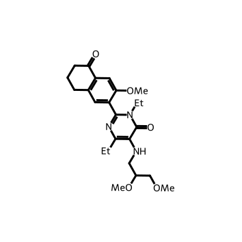 CCc1nc(-c2cc3c(cc2OC)C(=O)CCC3)n(CC)c(=O)c1NCC(COC)OC